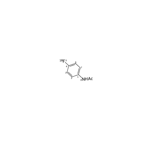 CC(=O)Nc1ccc([18F])cc1